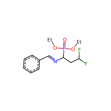 CCOP(=O)(OCC)C(CC(F)F)/N=C/c1ccccc1